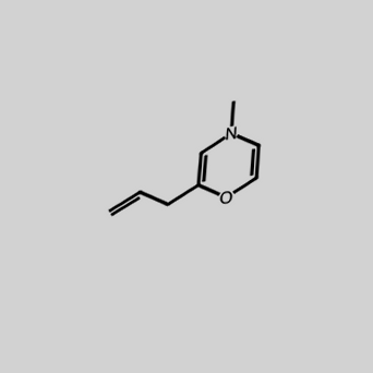 C=CCC1=CN(C)C=CO1